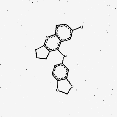 Clc1ccc2nc3c(c(Nc4ccc5c(c4)OCO5)c2c1)CCC3